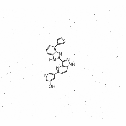 Oc1cncc(-c2ccc3[nH]nc(-c4nc5c(-c6ccsc6)cccc5[nH]4)c3n2)c1